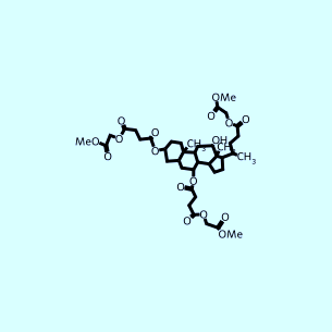 COC(=O)COC(=O)CCC(=O)OC1CCC2(C)C(C1)CC(OC(=O)CCC(=O)OCC(=O)OC)C1C2CC(O)C2(C)C(C(C)CCC(=O)OCC(=O)OC)CCC12